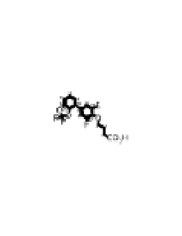 O=C(O)CCCOc1c(F)cc(-c2cccc3c2OC(F)(F)O3)cc1F